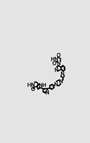 O=C1CCN(c2cncc3c(N4CC(CN5CCN(c6ccc(-c7cc(-c8cc9c([nH]8)CCNC9=O)ccn7)cc6)CC5)C4)cccc23)C(=O)N1